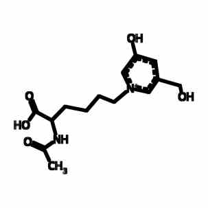 CC(=O)NC(CCCC[n+]1cc(O)cc(CO)c1)C(=O)O